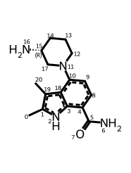 Cc1[nH]c2c(C(N)=O)ccc(N3CCC[C@@H](N)C3)c2c1C